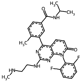 CNCCNc1nc(-c2cc(C(=O)NC(C)C)ccc2C)c2ccc(=O)n(-c3c(F)cccc3F)c2n1